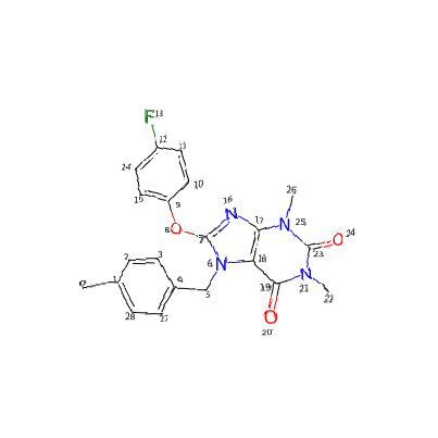 Cc1ccc(Cn2c(Oc3ccc(F)cc3)nc3c2c(=O)n(C)c(=O)n3C)cc1